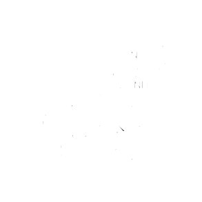 C[C@@]1(C(=O)Nc2nccs2)Cc2cc3c(cc2[C@@H]1c1ccccc1)OCO3